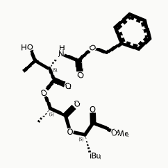 CCC(C)[C@H](OC(=O)[C@H](C)OC(=O)[C@@H](NC(=O)OCc1ccccc1)C(C)O)C(=O)OC